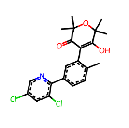 Cc1ccc(-c2ncc(Cl)cc2Cl)cc1C1=C(O)C(C)(C)OC(C)(C)C1=O